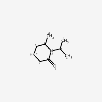 CC(C)N1C(=O)CNCC1C